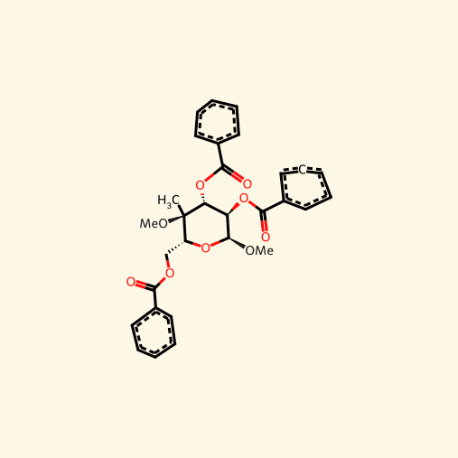 CO[C@H]1O[C@H](COC(=O)c2ccccc2)[C@@](C)(OC)[C@H](OC(=O)c2ccccc2)[C@H]1OC(=O)c1ccccc1